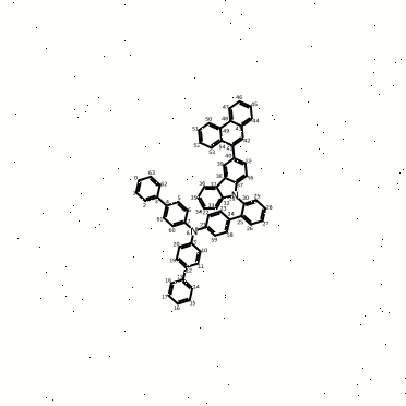 c1ccc(-c2ccc(N(c3ccc(-c4ccccc4)cc3)c3ccc(-c4ccccc4-n4c5ccccc5c5cc(-c6cc7ccccc7c7ccccc67)ccc54)cc3)cc2)cc1